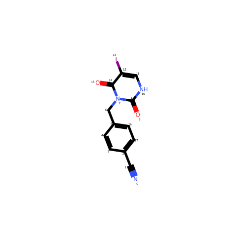 N#Cc1ccc(Cn2c(=O)[nH]cc(I)c2=O)cc1